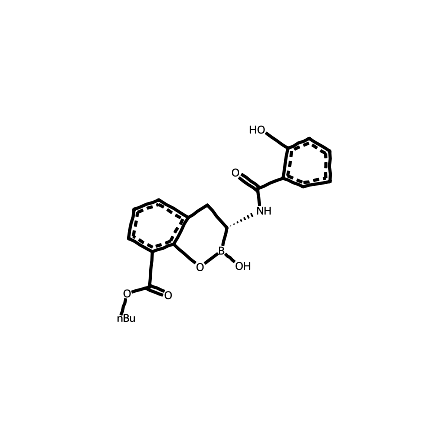 CCCCOC(=O)c1cccc2c1OB(O)[C@@H](NC(=O)c1ccccc1O)C2